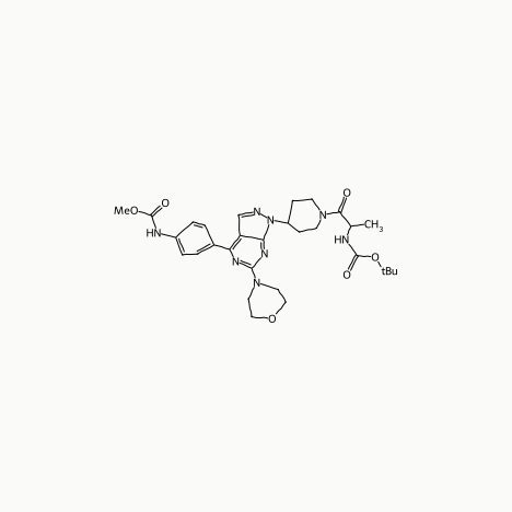 COC(=O)Nc1ccc(-c2nc(N3CCOCC3)nc3c2cnn3C2CCN(C(=O)C(C)NC(=O)OC(C)(C)C)CC2)cc1